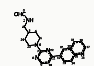 O=CNCC1CCN(c2nccc(-c3ccc4ncccc4c3)n2)CC1